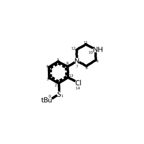 CC(C)(C)Sc1cccc(N2CCNCC2)c1Cl